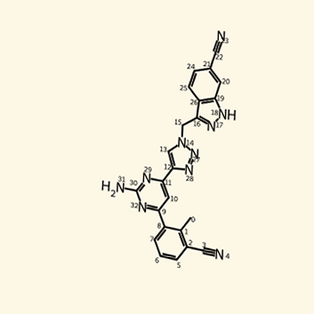 Cc1c(C#N)cccc1-c1cc(-c2cn(Cc3n[nH]c4cc(C#N)ccc34)nn2)nc(N)n1